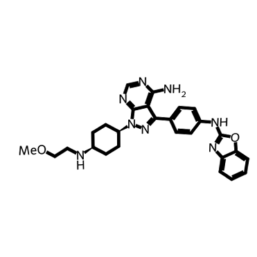 COCCN[C@H]1CC[C@@H](n2nc(-c3ccc(Nc4nc5ccccc5o4)cc3)c3c(N)ncnc32)CC1